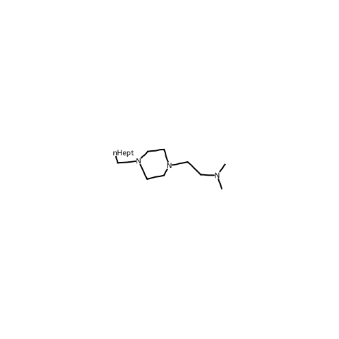 CC[CH]CCCCCN1CCN(CCN(C)C)CC1